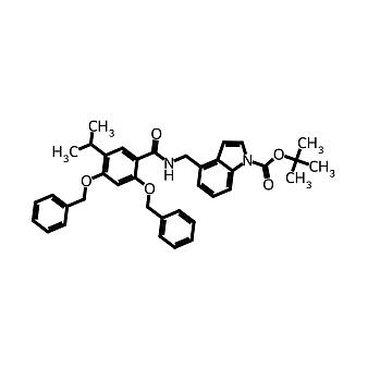 CC(C)c1cc(C(=O)NCc2cccc3c2ccn3C(=O)OC(C)(C)C)c(OCc2ccccc2)cc1OCc1ccccc1